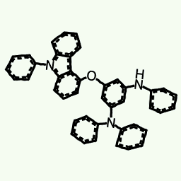 c1ccc(Nc2cc(Oc3cccc4c3c3ccccc3n4-c3ccccc3)cc(N(c3ccccc3)c3ccccc3)c2)cc1